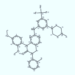 COc1ccc(N2C(=O)N(c3ccccc3C)Cc3cnc(Nc4cc(N5CCN(C)CC5)cc(C(F)(F)F)c4)nc32)c(OC)c1